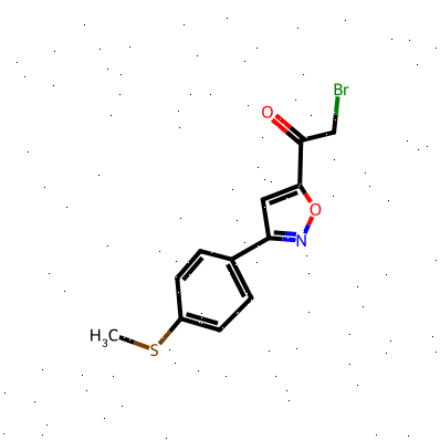 CSc1ccc(-c2cc(C(=O)CBr)on2)cc1